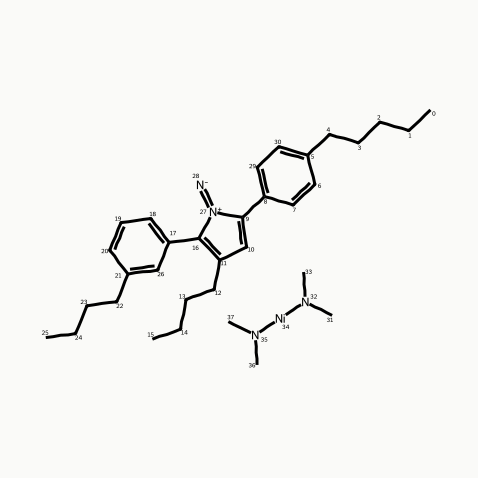 CCCCCc1ccc(C2=CC(CCCC)=C(c3cccc(CCCC)c3)[N+]2=[N-])cc1.C[N](C)[Ni][N](C)C